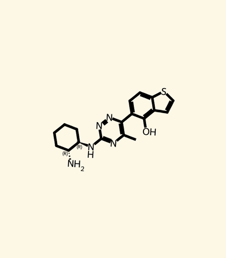 Cc1nc(N[C@@H]2CCCC[C@H]2N)nnc1-c1ccc2sccc2c1O